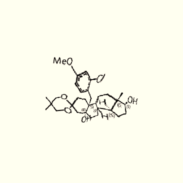 COc1ccc(C[C@]23CCC4(C[C@]2(O)CC[C@@H]2C3=CC[C@]3(C)[C@@H](O)CC[C@@H]23)OCC(C)(C)CO4)c(Cl)c1